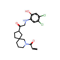 C=CC(=O)N1CCCC2(CCC(C(=O)CNc3cc(Cl)c(Cl)cc3O)C2)C1